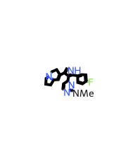 CNc1nccc(-c2c(C3=CC4CCCN4CC3)c[nH]c2-c2ccc(F)cc2)n1